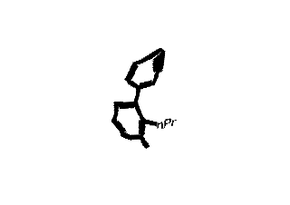 CCCc1c(C)cccc1-c1ccccc1